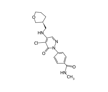 CNC(=O)c1ccc(-n2ncc(NC[C@@H]3CCCOC3)c(Cl)c2=O)cc1